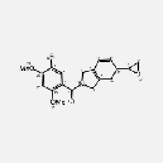 CCc1cc(C(=O)N2CC3=C(CC(C4CO4)C=C3)C2)c(OC)cc1OC